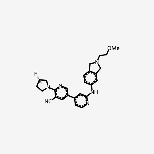 COCCN1Cc2ccc(Nc3cc(-c4cnc(N5CC[C@H](F)C5)c(C#N)c4)ccn3)cc2C1